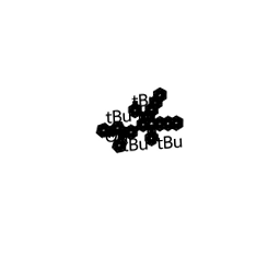 CC(C)(C)c1cc(N2c3cc4cc5ccccc5cc4cc3B3c4cc5cc6ccccc6cc5cc4N(c4cc(C(C)(C)C)cc(C(C)(C)C)c4)c4cc(-c5ccc6c(c5)c5ccc7c8ccccc8oc7c5n6-c5ccccc5)cc2c43)cc(C(C)(C)C)c1